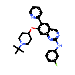 CC(C)(C)N1CCC(Oc2cc3nc(Nc4cccc(F)c4)ncc3cc2-c2ccccn2)CC1